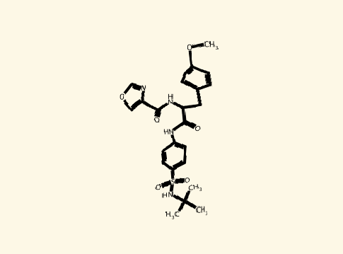 COc1ccc(CC(NC(=O)c2cocn2)C(=O)Nc2ccc(S(=O)(=O)NC(C)(C)C)cc2)cc1